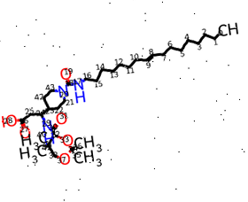 CCCCCCCCC=CCCCCCCCNC(=O)N1CCC(C(CC(=O)O)NC(=O)C2OC(C)(C)OCC2(C)C)CC1